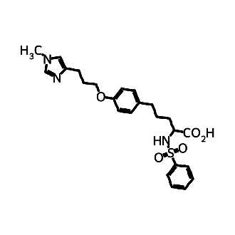 Cn1cnc(CCCOc2ccc(CCCC(NS(=O)(=O)c3ccccc3)C(=O)O)cc2)c1